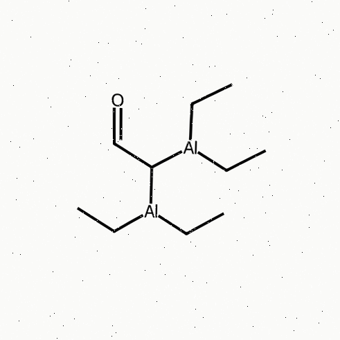 C[CH2][Al]([CH2]C)[CH](C=O)[Al]([CH2]C)[CH2]C